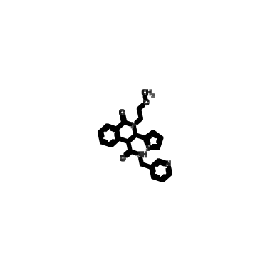 COCCN1C(=O)c2ccccc2C(C(=O)NCc2cccnc2)C1c1cccs1